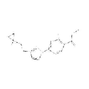 CC(C)(C)OC(=O)c1ccc(-n2ccc(OCC3(C(F)(F)F)CC3)n2)nc1F